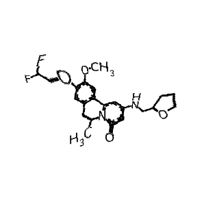 COc1cc2c(cc1OCC(F)F)CC(C)n1c-2cc(NCC2CCCO2)cc1=O